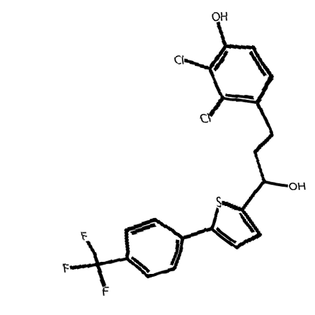 Oc1ccc(CCC(O)c2ccc(-c3ccc(C(F)(F)F)cc3)s2)c(Cl)c1Cl